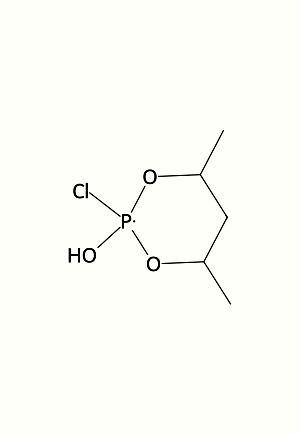 CC1CC(C)O[P](O)(Cl)O1